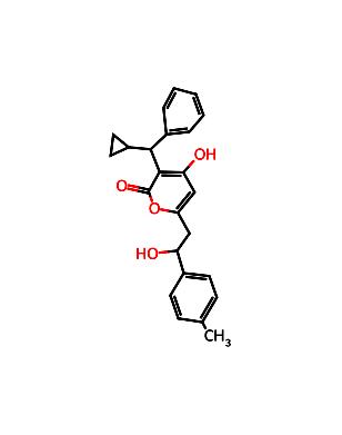 Cc1ccc(C(O)Cc2cc(O)c(C(c3ccccc3)C3CC3)c(=O)o2)cc1